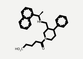 C[C@@H](NCC1CN(C(=O)CCCC(=O)O)CCC1c1ccccc1)c1cccc2ccccc12